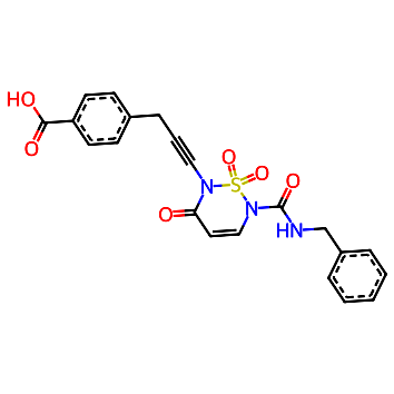 O=C(O)c1ccc(CC#CN2C(=O)C=CN(C(=O)NCc3ccccc3)S2(=O)=O)cc1